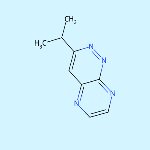 CC(C)c1cc2nccnc2nn1